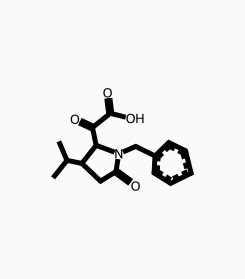 CC(C)C1CC(=O)N(Cc2ccccc2)C1C(=O)C(=O)O